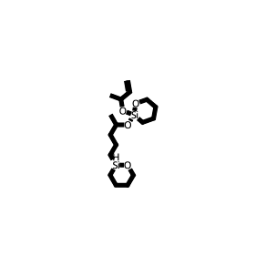 C=CC(C)O[Si]1(OC(C)CCC[SiH]2CCCCO2)CCCCO1